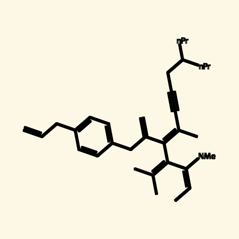 C=CCc1ccc(CC(=C)/C(C(=C(C)C)/C(=C\C)NC)=C(/C)C#CCC(CCC)CCC)cc1